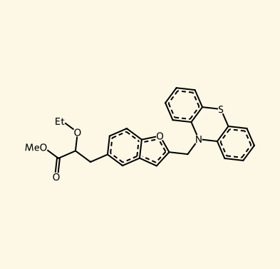 CCOC(Cc1ccc2oc(CN3c4ccccc4Sc4ccccc43)cc2c1)C(=O)OC